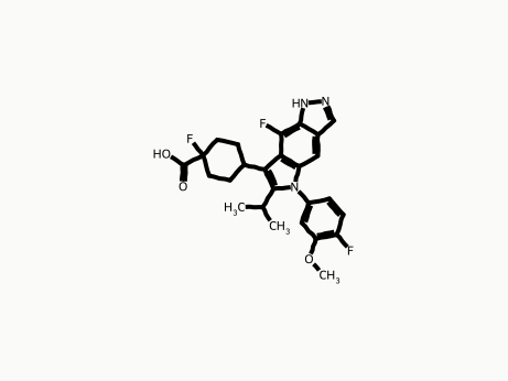 COc1cc(-n2c(C(C)C)c(C3CCC(F)(C(=O)O)CC3)c3c(F)c4[nH]ncc4cc32)ccc1F